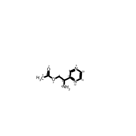 CC(=O)OCC(N)c1cnccn1